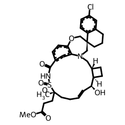 COC(=O)CC[C@@]1(C)CC/C=C/[C@H](O)[C@@H]2CC[C@H]2CN2C[C@@]3(CCCc4cc(Cl)ccc43)COc3ccc(cc32)C(=O)NS1(=O)=O